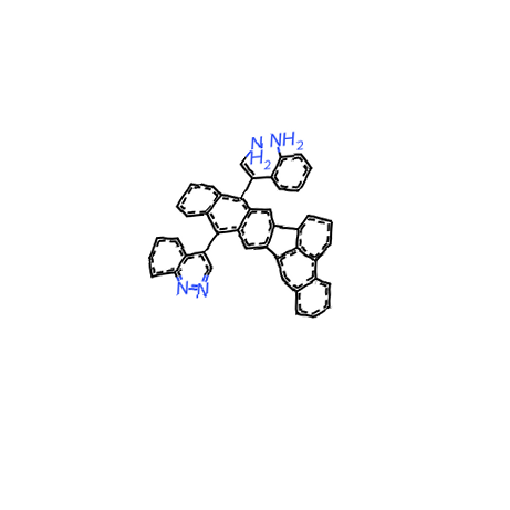 N/C=C(\c1ccccc1N)c1c2ccccc2c(-c2cnnc3ccccc23)c2cc3c(cc12)-c1cccc2c1c-3cc1ccccc12